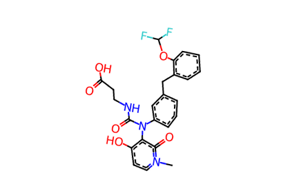 Cn1ccc(O)c(N(C(=O)NCCC(=O)O)c2cccc(Cc3ccccc3OC(F)F)c2)c1=O